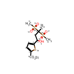 CCOC(=O)c1ccc(C(O)CC(C)(S(C)(=O)=O)S(C)(=O)=O)s1